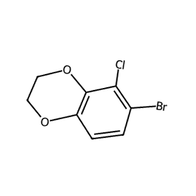 Clc1c(Br)ccc2c1OCCO2